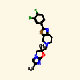 C[C@]1(CN2CCc3nc(C4=CCC(F)C(F)=C4)sc3C2)Cn2cc([N+](=O)[O-])nc2O1